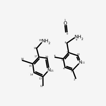 C=O.Cc1cc(C)c(CN)cn1.Cc1cc(C)c(CN)cn1